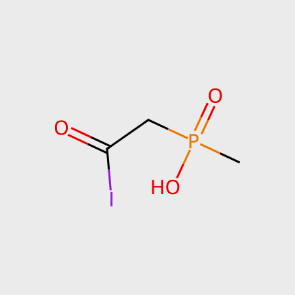 CP(=O)(O)CC(=O)I